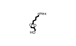 CCCCCCCCCCC1OCC(CO)O1